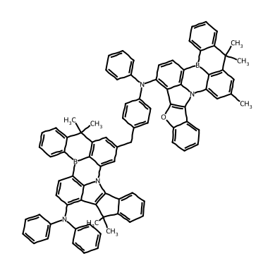 Cc1cc2c3c(c1)C(C)(C)c1ccccc1B3c1ccc(N(c3ccccc3)c3ccc(Cc4cc5c6c(c4)C(C)(C)c4ccccc4B6c4ccc(N(c6ccccc6)c6ccccc6)c6c7c(n-5c46)-c4ccccc4C7(C)C)cc3)c3c4oc5ccccc5c4n-2c13